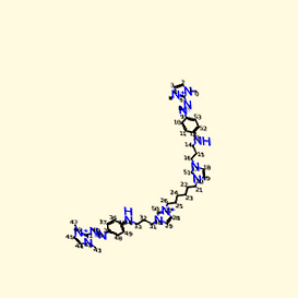 Cn1cc[n+](C)c1/N=N/c1ccc(NCCCn2cc[n+](CCCCCC[n+]3ccn(CCCNc4ccc(/N=N/c5n(C)cc[n+]5C)cc4)c3)c2)cc1